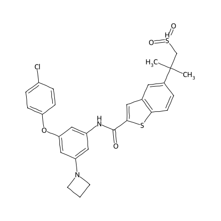 CC(C)(C[SH](=O)=O)c1ccc2sc(C(=O)Nc3cc(Oc4ccc(Cl)cc4)cc(N4CCC4)c3)cc2c1